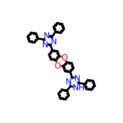 c1ccc(C2=NC(c3ccc4c(c3)Oc3ccc(-c5nc(-c6ccccc6)nc(-c6ccccc6)n5)cc3O4)=NC(c3ccccc3)N2)cc1